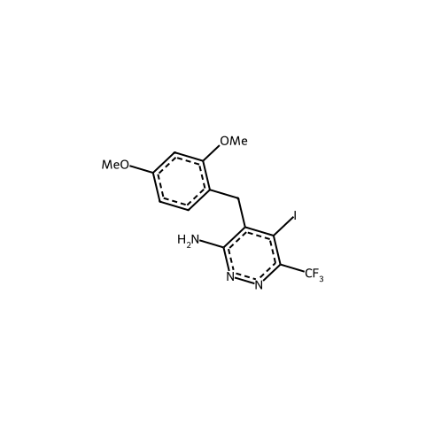 COc1ccc(Cc2c(N)nnc(C(F)(F)F)c2I)c(OC)c1